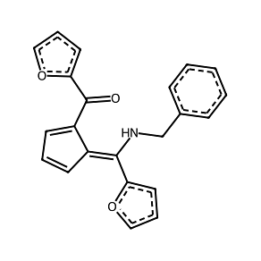 O=C(C1=CC=CC1=C(NCc1ccccc1)c1ccco1)c1ccco1